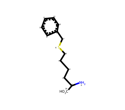 NC(CCCCSCc1ccccc1)C(=O)O